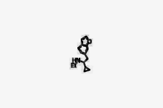 CCN[C@@H](Cc1ccc2ccoc2c1)C1CC1